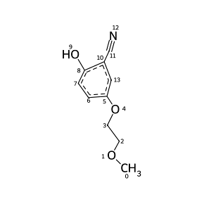 COCCOc1ccc(O)c(C#N)c1